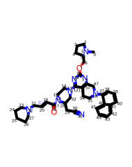 CN1CCCC1COc1nc2c(c(N3CCN(C(=O)/C=C/CN4CCCCC4)C(CC#N)C3)n1)CCN(c1cccc3ccccc13)C2